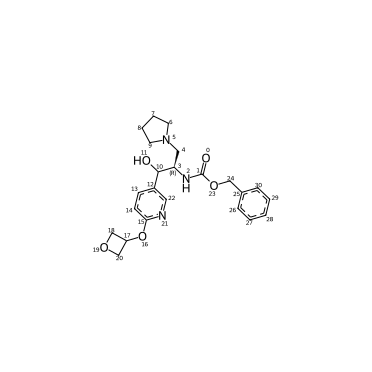 O=C(N[C@H](CN1CCCC1)C(O)c1ccc(OC2COC2)nc1)OCc1ccccc1